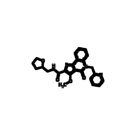 COc1c(C(=O)NCC2CCCO2)sc2c1c(=O)n(Cc1ccccn1)c1ccccc21